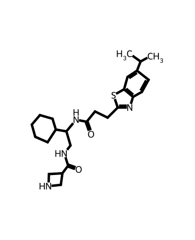 CC(C)c1ccc2nc(CCC(=O)NC(CNC(=O)C3CNC3)C3CCCCC3)sc2c1